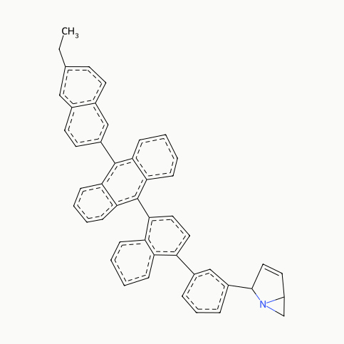 CCc1ccc2cc(-c3c4ccccc4c(-c4ccc(-c5cccc(C6C=CC7CN76)c5)c5ccccc45)c4ccccc34)ccc2c1